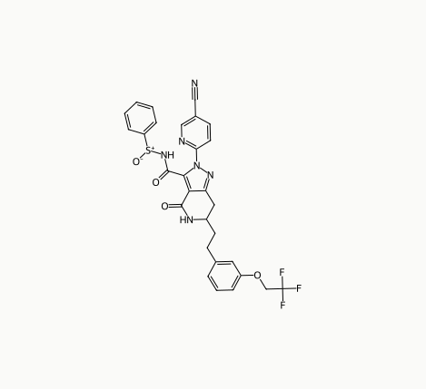 N#Cc1ccc(-n2nc3c(c2C(=O)N[S+]([O-])c2ccccc2)C(=O)NC(CCc2cccc(OCC(F)(F)F)c2)C3)nc1